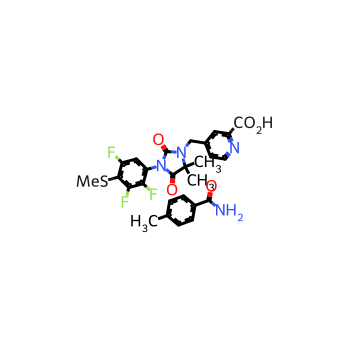 CSc1c(F)cc(N2C(=O)N(Cc3ccnc(C(=O)O)c3)C(C)(C)C2=O)c(F)c1F.Cc1ccc(C(N)=O)cc1